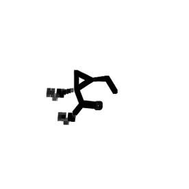 CC[C@@H]1C[C@]1(N)C(N)=O